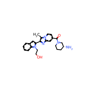 Cc1c(-c2cc3ccccc3n2CCO)nc2cc(C(=O)N3CCC[C@@H](N)C3)ccn12